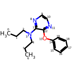 CCCN(CCC)c1nccnc1Oc1ccccc1